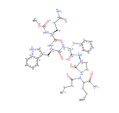 CSCCC(C(N)=O)N(C(=O)CCC(C)C)N1CC[C@H](NC(=O)[C@@H](Cc2ccccc2)NC(=O)[C@@H](Cc2c[nH]c3ccccc23)NC(=O)[C@H](CCC(N)=O)NC(=O)OC(C)(C)C)C1=O